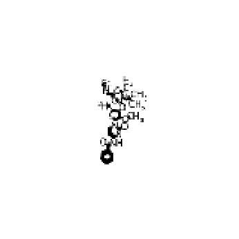 [2H]C[C@H]1S[C@@H](n2ccc(NC(=O)c3ccccc3)nc2=O)[C@H](OC)[C@@H]1OP(OCC[N+]#[C-])N(C(C)C)C(C)C